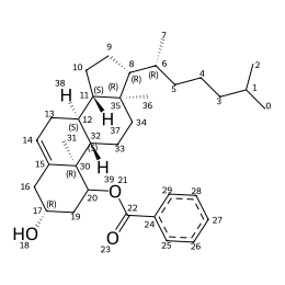 CC(C)CCC[C@@H](C)[C@H]1CC[C@H]2[C@@H]3CC=C4C[C@@H](O)CC(OC(=O)c5ccccc5)[C@]4(C)[C@H]3CC[C@]12C